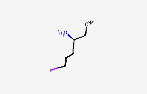 COC[C@H](N)CCCI